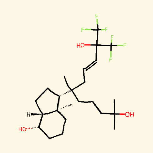 CC(C)(O)CCCC(C)(C/C=C/C(O)(C(F)(F)F)C(F)(F)F)[C@H]1CC[C@H]2[C@@H](O)CCC[C@]12C